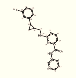 O=C(Nc1cncnc1)c1ccnc(NCC2CC2c2cccc(F)c2)n1